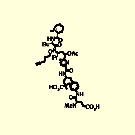 C#CCCCON(C(=O)[C@@H](NC(=O)[C@H]1CCCCN1C)[C@@H](C)CC)[C@H](C[C@@H](OC(C)=O)c1nc(C(=O)N[C@@H](Cc2ccc(NC(=O)[C@H](CCC(=O)O)NC)cc2)CC(C)(C)C(=O)O)cs1)C(C)C